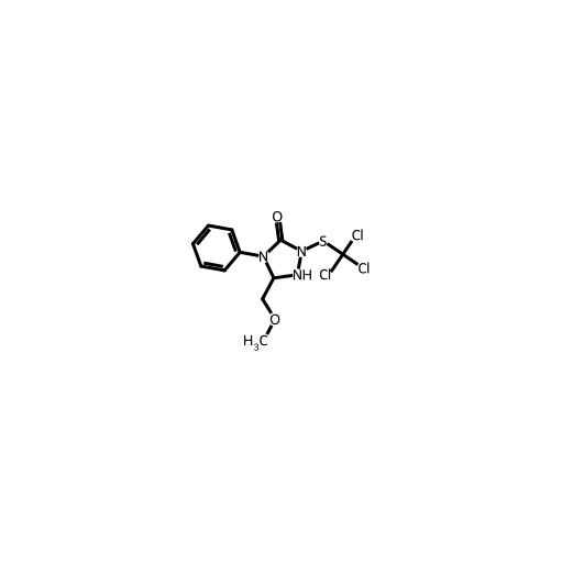 COCC1NN(SC(Cl)(Cl)Cl)C(=O)N1c1ccccc1